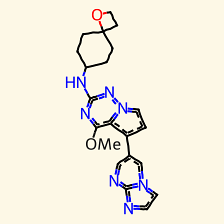 COc1nc(NC2CCC3(CCO3)CC2)nn2ccc(-c3cnc4nccn4c3)c12